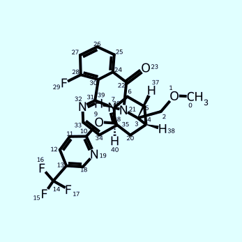 COC[C@@H]1[C@@H]2CC[C@@H]([C@H](Oc3ccc(C(F)(F)F)cn3)C2)N1C(=O)c1cccc(F)c1-c1ncccn1